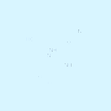 COc1cc2c(cc1OC)-c1[nH]c3ccc(OCCN(C)C)cc3c1C2=NNc1ccccc1.Cl